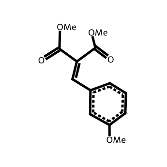 COC(=O)C(=Cc1cc[c]c(OC)c1)C(=O)OC